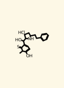 CC1C(=S)C(C(O)C2CCC(CCc3ccccc3)N2)=CC=C1O.Cl